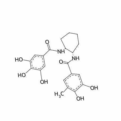 Cc1cc(C(=O)N[C@H]2CCCC[C@H]2NC(=O)c2cc(O)c(O)c(O)c2)cc(O)c1O